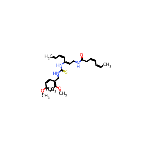 C=C/C=C\C(=C/CNC(=O)C/C=C\C=C/C)NC(=S)NCC(/C=C\C(C)OC)=C(/C)OC